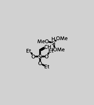 C=C[Si](OCC)(OCC)OCC.CO[SiH](OC)OC